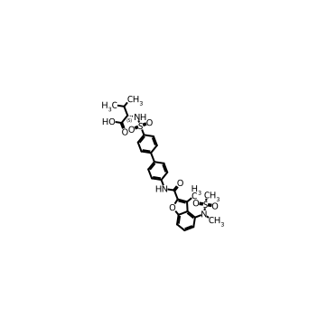 Cc1c(C(=O)Nc2ccc(-c3ccc(S(=O)(=O)N[C@H](C(=O)O)C(C)C)cc3)cc2)oc2cccc(N(C)S(C)(=O)=O)c12